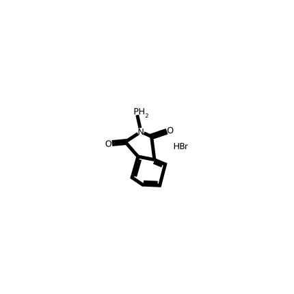 Br.O=C1c2ccccc2C(=O)N1P